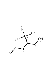 CCOC(CO)C(F)(F)F